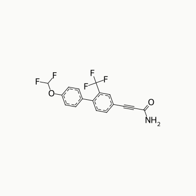 NC(=O)C#Cc1ccc(-c2ccc(OC(F)F)cc2)c(C(F)(F)F)c1